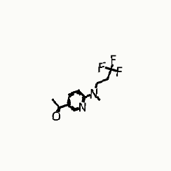 CC(=O)c1ccc(N(C)CCC(F)(F)F)nc1